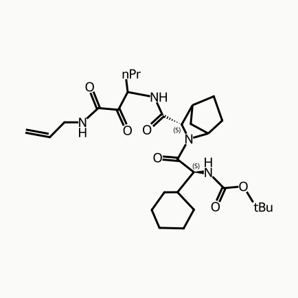 C=CCNC(=O)C(=O)C(CCC)NC(=O)[C@@H]1C2CCC(C2)N1C(=O)[C@@H](NC(=O)OC(C)(C)C)C1CCCCC1